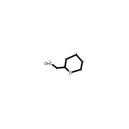 O=C[CH]C1CCCCO1